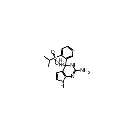 CC(C)S(=O)(=O)c1ccccc1C1(N)NC(N)=Nc2[nH]ccc21